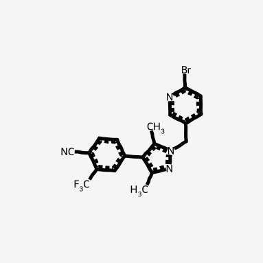 Cc1nn(Cc2ccc(Br)nc2)c(C)c1-c1ccc(C#N)c(C(F)(F)F)c1